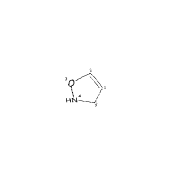 [C]1[C]=CON1